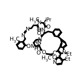 CCc1ccncc1-c1c2c3cc(ccc3n1CC)-c1cccc(c1)C[C@H](NC(=O)[C@H](C(C)C)N(C)C(=O)CCN=C=NCc1c(C)cccc1OC)C(=O)N1CCC[C@H](N1)C(=O)OCC(C)(C)C2